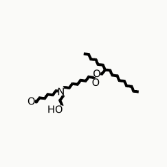 CCCCCCCCCC(CCCCCC)COC(=O)CCCCCCCN(CCCO)CCCCCC=O